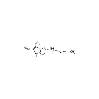 CCCCCSNc1ccc2[nH]c(C#N)c(C)c2c1